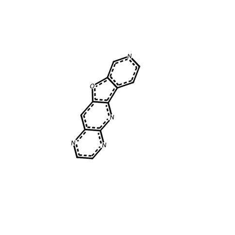 c1cc2c(cn1)oc1cc3nccnc3nc12